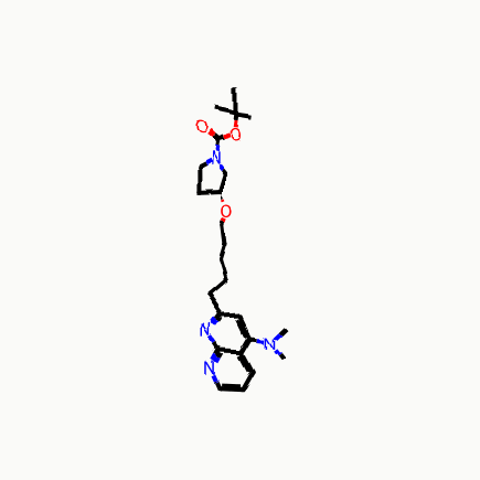 CN(C)c1cc(CCCCCO[C@@H]2CCN(C(=O)OC(C)(C)C)C2)nc2ncccc12